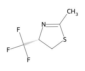 CC1=N[C@@H](C(F)(F)F)CS1